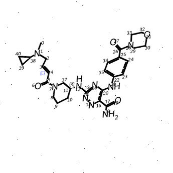 CN(C/C=C/C(=O)N1CCC[C@@H](Nc2nnc(C(N)=O)c(Nc3ccc(C(=O)N4CCOCC4)cc3)n2)C1)C1CC1